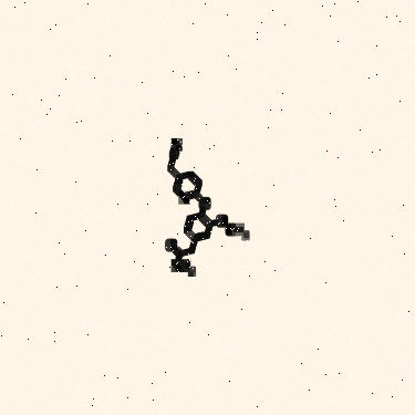 COc1cc(CC(N)=O)ccc1Oc1ccc(CC#N)cn1